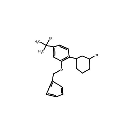 CCC(C)(C)c1ccc(C2CCCC(O)C2)c(OCc2ccccc2)c1